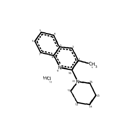 Cc1cc2ccccc2nc1N1CCCCC1.Cl